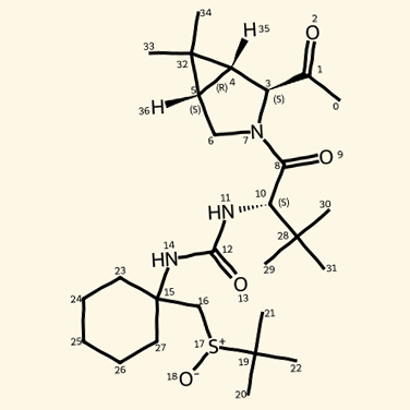 CC(=O)[C@@H]1[C@@H]2[C@H](CN1C(=O)[C@@H](NC(=O)NC1(C[S+]([O-])C(C)(C)C)CCCCC1)C(C)(C)C)C2(C)C